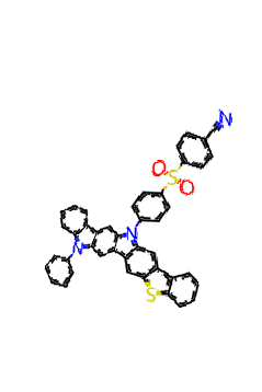 N#Cc1ccc(S(=O)(=O)c2ccc(-n3c4cc5c(cc4c4cc6c(cc43)c3ccccc3n6-c3ccccc3)sc3ccccc35)cc2)cc1